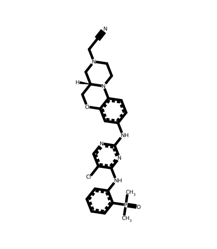 CP(C)(=O)c1ccccc1Nc1nc(Nc2ccc3c(c2)OC[C@@H]2CN(CC#N)CCN32)ncc1Cl